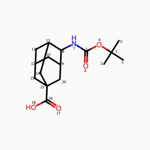 CC(C)(C)OC(=O)NC1C2CC3CC1CC(C(=O)O)(C3)C2